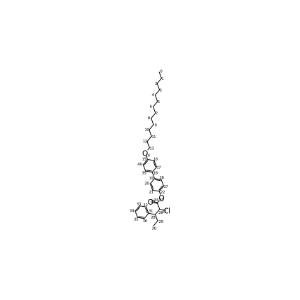 CCCCCCCCCCCCCCOc1ccc(-c2ccc(OC(=O)C(Cl)C(CC)c3ccccc3)cc2)cc1